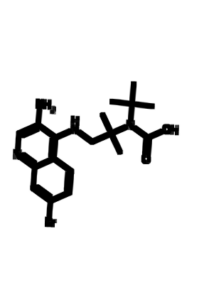 CC(C)(C)N(C(=O)O)C(C)(C)CNc1c(N)cnc2cc(Br)ccc12